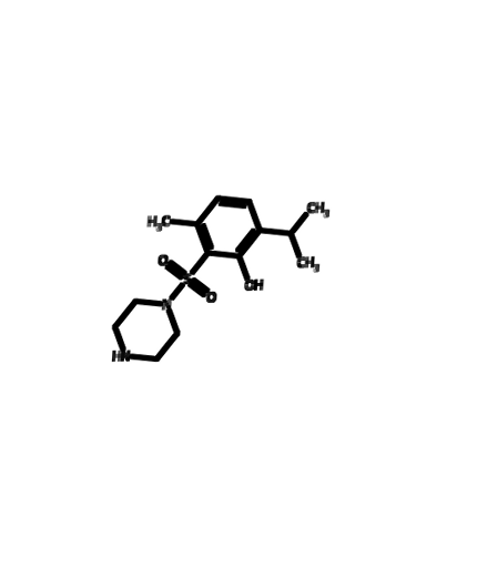 Cc1ccc(C(C)C)c(O)c1S(=O)(=O)N1CCNCC1